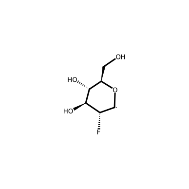 OC[C@H]1O[CH][C@H](F)[C@@H](O)[C@@H]1O